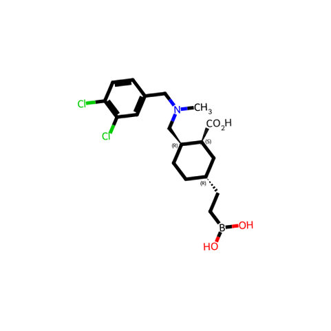 CN(Cc1ccc(Cl)c(Cl)c1)C[C@@H]1CC[C@@H](CCB(O)O)C[C@@H]1C(=O)O